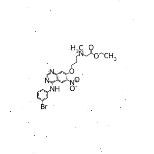 CCOC(=O)CN(C)CCCOc1cc2ncnc(Nc3cccc(Br)c3)c2cc1[N+](=O)[O-]